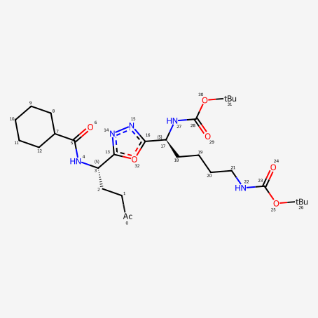 CC(=O)CC[C@H](NC(=O)C1CCCCC1)c1nnc([C@H](CCCCNC(=O)OC(C)(C)C)NC(=O)OC(C)(C)C)o1